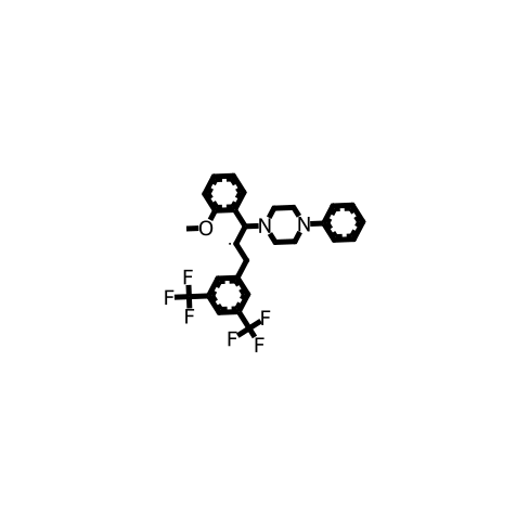 COc1ccccc1C([CH]Cc1cc(C(F)(F)F)cc(C(F)(F)F)c1)N1CCN(c2ccccc2)CC1